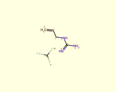 C=CCNC(=N)N.FC(F)F